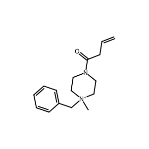 C=CCC(=O)N1CC[N+](C)(Cc2ccccc2)CC1